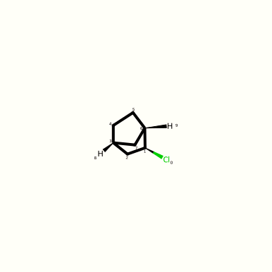 Cl[C@H]1C[C@@H]2CC[C@H]1C2